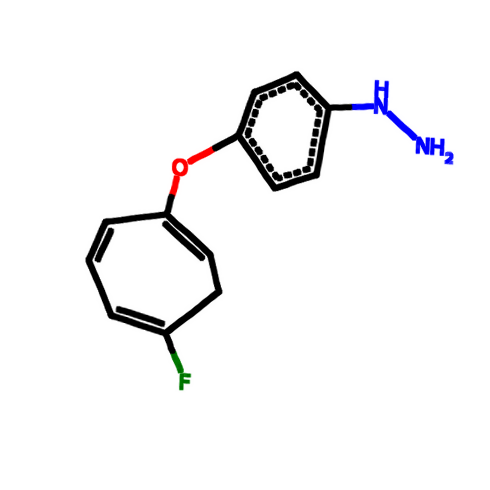 NNc1ccc(OC2=CCC(F)=CC=C2)cc1